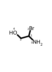 NC(Br)CO